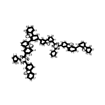 c1ccc(-c2nc(-c3ccc4c(c3)oc3ccccc34)nc(-c3ccc4oc5c(-c6cc(-c7ccc8oc9c(-c%10nc(-c%11ccccc%11)nc(-c%11ccc%12oc%13c(-c%14cccc%15c%14oc%14ccccc%14%15)cccc%13c%12c%11)n%10)cccc9c8c7)cc7c6oc6ccccc67)cccc5c4c3)n2)cc1